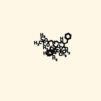 CC(C)(C)OC(=O)CN(CCN[C@@H](Cc1ccccc1)C(=O)OC(C)(C)C)[C@@H](Cc1ccccc1)C(=O)OC(C)(C)C